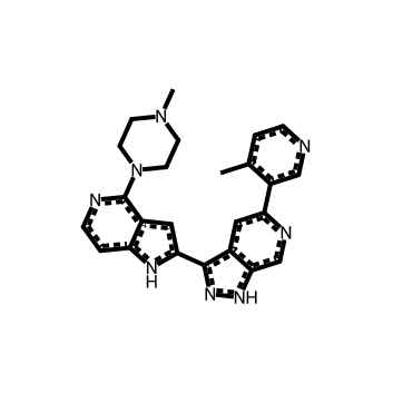 Cc1ccncc1-c1cc2c(-c3cc4c(N5CCN(C)CC5)nccc4[nH]3)n[nH]c2cn1